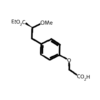 CCOC(=O)[C@H](Cc1ccc(OCC(=O)O)cc1)OC